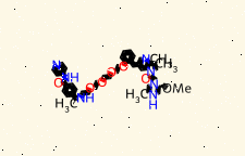 COC[C@H]1CN[C@H](C)CN1CC(=O)N1CC(C)(C)c2ncc(Cc3ccccc3OCCOCCOCCOCCN[C@H](C)c3ccc(C(=O)Nc4ccncc4)cc3)cc21